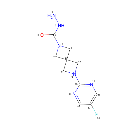 NNC(=O)N1CC2(C1)CN(c1ncc(F)cn1)C2